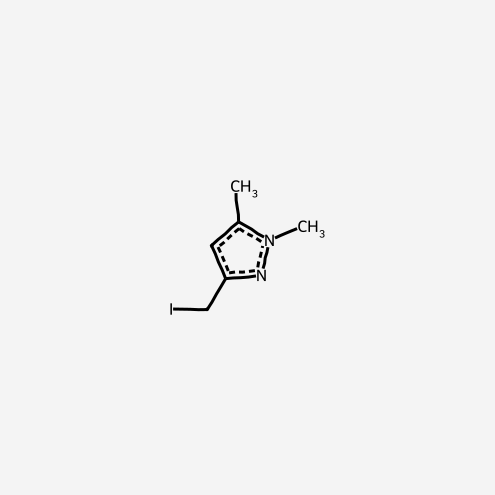 Cc1cc(CI)nn1C